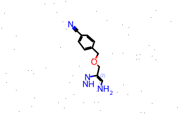 N#Cc1ccc(COC/C(=C/N)N=N)cc1